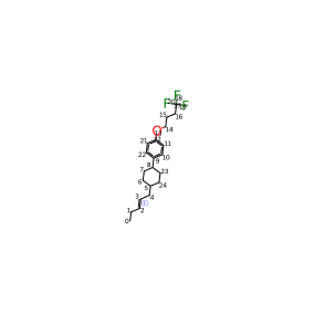 CC/C=C/CC1CCC(c2ccc(OCCCC(F)(F)F)cc2)CC1